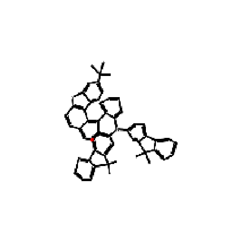 CC(C)(C)c1ccc2c(c1)sc1ccc3cccc(-c4ccccc4N(c4ccc5c(c4)C(C)(C)c4ccccc4-5)c4ccc5c(c4)C(C)(C)c4ccccc4-5)c3c12